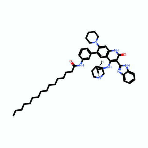 CCCCCCCCCCCCCCCC(=O)Nc1cccc(-c2cc3c(N[C@H]4CN5CCC4CC5)c(-c4nc5ccccc5[nH]4)c(=O)[nH]c3cc2N2CCCCC2)c1